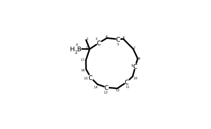 BC1(C)CCCCCCCCCCCCCCC1